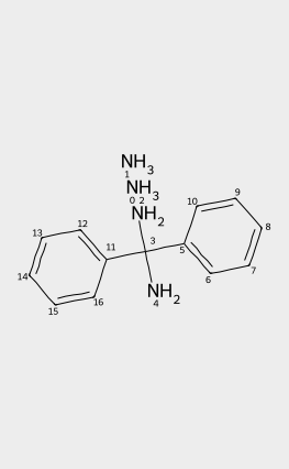 N.N.NC(N)(c1ccccc1)c1ccccc1